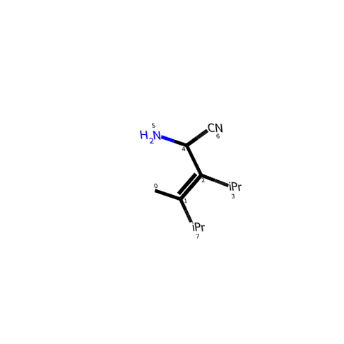 C/C(=C(/C(C)C)C(N)C#N)C(C)C